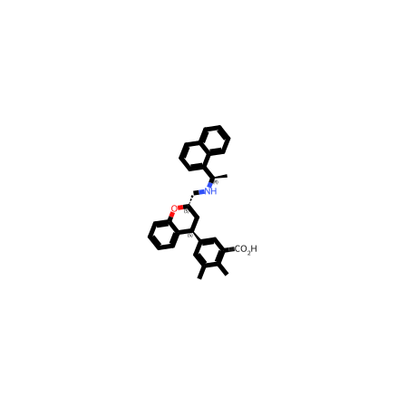 Cc1cc([C@@H]2C[C@@H](CN[C@H](C)c3cccc4ccccc34)Oc3ccccc32)cc(C(=O)O)c1C